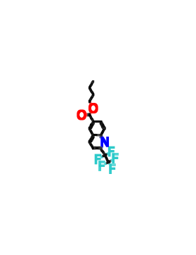 CCCCOC(=O)c1ccc2nc(C(F)(F)C(F)(F)F)ccc2c1